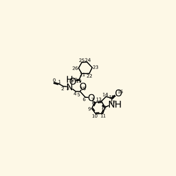 C=CCNCC(COc1cccc2c1CC(=O)N2)OC(=O)C1CCCCC1